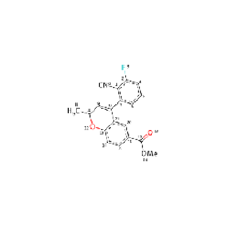 [C-]#[N+]c1c(F)cccc1C1=CC(C)Oc2ccc(C(=O)OC)cc21